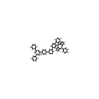 C1=C(c2ccc(-c3cccc(-c4ccc5c(c4)C4(c6ccccc6-5)c5ccccc5N(c5ccccc5)c5ccccc54)c3)cc2)NC(c2ccccc2)N=C1c1ccccc1